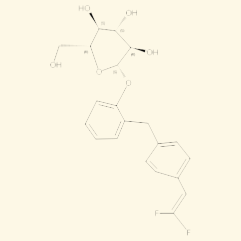 OC[C@H]1O[C@@H](Oc2ccccc2Cc2ccc(C=C(F)F)cc2)[C@H](O)[C@@H](O)[C@@H]1O